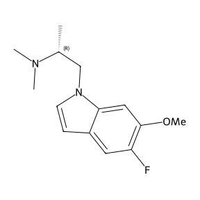 COc1cc2c(ccn2C[C@@H](C)N(C)C)cc1F